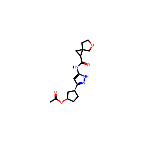 CC(=O)O[C@@H]1CC[C@H](c2cc(NC(=O)C3CC34CCOC4)[nH]n2)C1